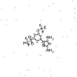 Nc1nc(N)n(-c2cc(SC(F)(F)F)cc(S(=O)(=O)C(F)(F)F)c2)n1